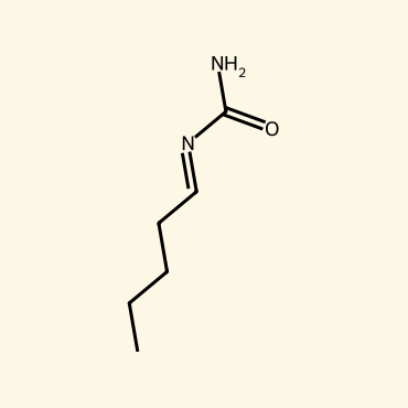 CCCCC=NC(N)=O